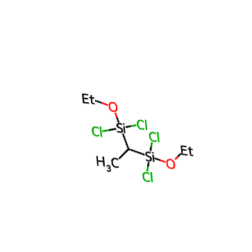 CCO[Si](Cl)(Cl)C(C)[Si](Cl)(Cl)OCC